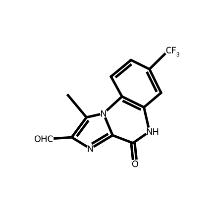 Cc1c(C=O)nc2c(=O)[nH]c3cc(C(F)(F)F)ccc3n12